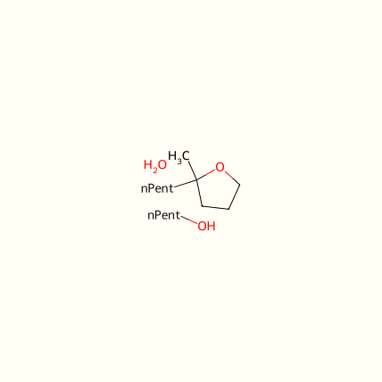 CCCCCC1(C)CCCO1.CCCCCO.O